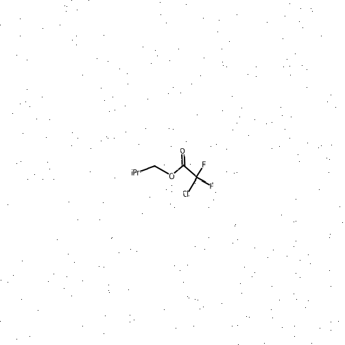 CC(C)COC(=O)C(F)(F)Cl